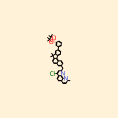 Cc1ccc2ccc3c(Cl)cc(Cc4ccc5c6c(ccc5c4)C(C)(C)c4cc(-c5cccc(B7OC(C)(C)C(C)(C)O7)c5)ccc4-6)nc3c2n1